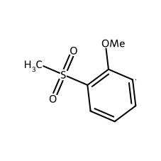 COc1[c]cccc1S(C)(=O)=O